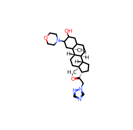 C[C@]12CC[C@H]3[C@@H](CCC4CC(O)C(N5CCOCC5)C[C@@]43C)[C@@H]1CC[C@@H]2C(=O)Cn1cncn1